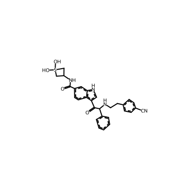 N#Cc1ccc(CCNC(C(=O)c2c[nH]c3cc(C(=O)NC4CS(O)(O)C4)ccc23)c2ccccc2)cc1